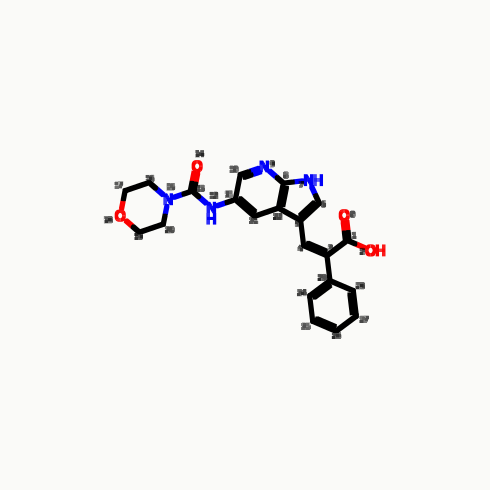 O=C(O)C(=Cc1c[nH]c2ncc(NC(=O)N3CCOCC3)cc12)c1ccccc1